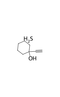 C#CC1(O)CCCCC1.S